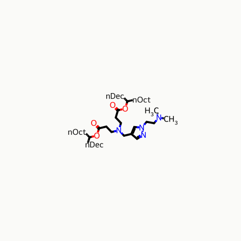 CCCCCCCCCCC(CCCCCCCC)OC(=O)CCN(CCC(=O)OC(CCCCCCCC)CCCCCCCCCC)Cc1cnn(CCN(C)C)c1